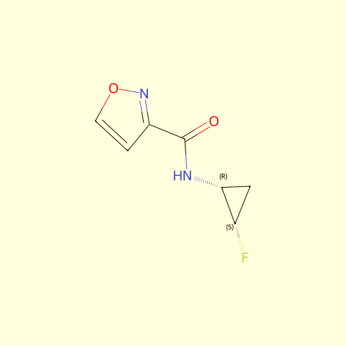 O=C(N[C@@H]1C[C@@H]1F)c1ccon1